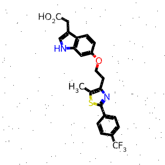 Cc1sc(-c2ccc(C(F)(F)F)cc2)nc1CCOc1ccc2c(CC(=O)O)c[nH]c2c1